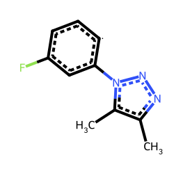 Cc1nnn(-c2[c]ccc(F)c2)c1C